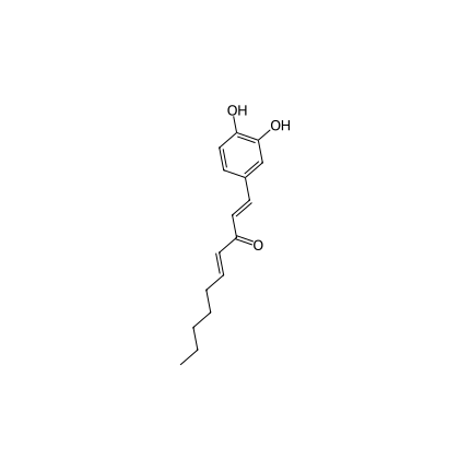 CCCCC/C=C/C(=O)/C=C/c1ccc(O)c(O)c1